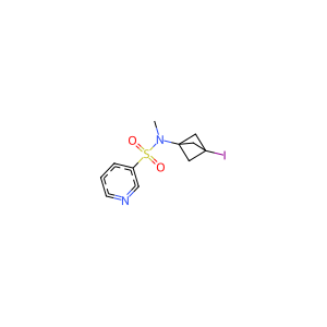 CN(C12CC(I)(C1)C2)S(=O)(=O)c1cccnc1